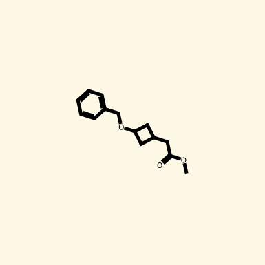 COC(=O)CC1CC(OCc2ccccc2)C1